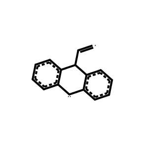 [CH]=CC1c2ccccc2[C]c2ccccc21